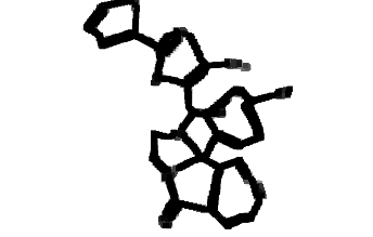 Cc1nc(-c2cccs2)sc1C(=O)N1CCN2C(=O)c3ccncc3C21c1ccc(Cl)cc1